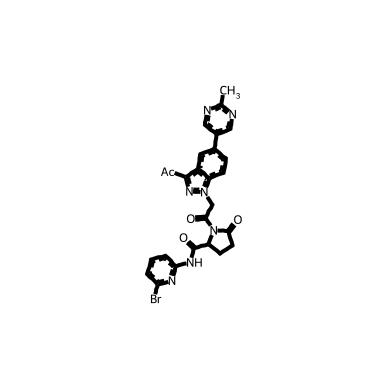 CC(=O)c1nn(CC(=O)N2C(=O)CCC2C(=O)Nc2cccc(Br)n2)c2ccc(-c3cnc(C)nc3)cc12